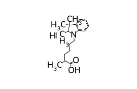 CC(CCCCN1c2ccccc2C(C)(C)C1C)C(=O)O.I